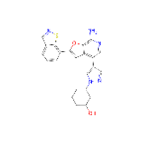 Nc1ncc(-c2cnn(C3CCCC(O)C3)c2)c2cc(-c3cccc4cnsc34)oc12